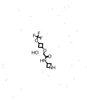 Cl.O=C(COC1CC(OC(F)(F)F)C1)NC1CNC1